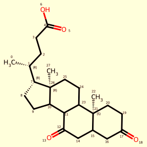 C[C@H](CCC(=O)O)[C@H]1CCC2C3C(=O)CC4CC(=O)CC[C@]4(C)C3CC[C@@]21C